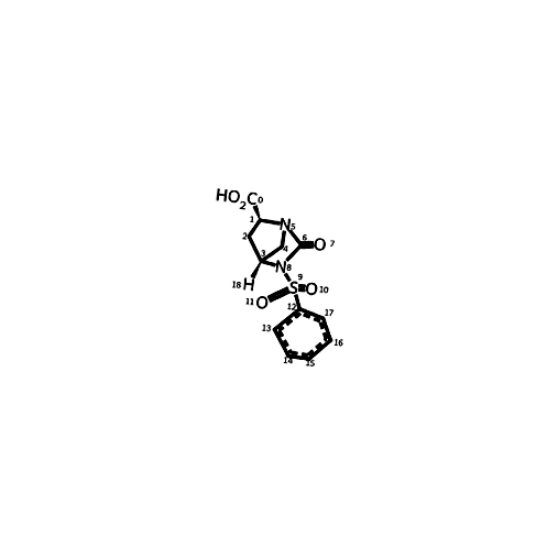 O=C(O)[C@@H]1C[C@@H]2CN1C(=O)N2S(=O)(=O)c1ccccc1